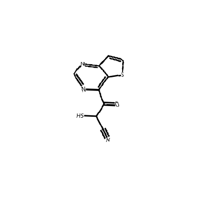 N#CC(S)C(=O)c1ncnc2ccsc12